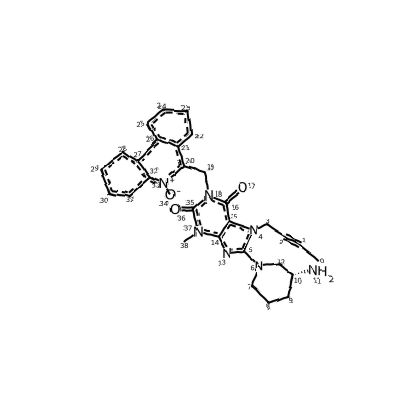 CC#CCn1c(N2CCC[C@@H](N)C2)nc2c1c(=O)n(Cc1c3ccccc3c3ccccc3[n+]1[O-])c(=O)n2C